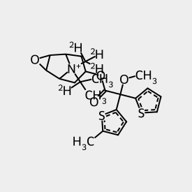 [2H]C([2H])([2H])[N+]1(C([2H])(C)C)C2CC(OC(=O)C(OC)(c3cccs3)c3ccc(C)s3)CC1C1OC12